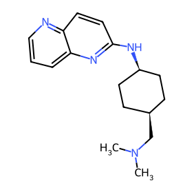 CN(C)C[C@H]1CC[C@@H](Nc2ccc3ncccc3n2)CC1